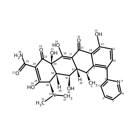 C[C@@H]1c2c(-c3ccccn3)ccc(O)c2C(=O)C2=C(O)[C@@]3(O)C(=O)C(C(N)=O)=C(O)[C@H](N(C)C)[C@H]3[C@H](O)[C@H]21